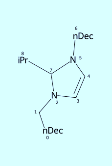 CCCCCCCCCCCN1C=CN(CCCCCCCCCC)C1C(C)C